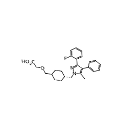 Cc1c(-c2ccccc2)c(-c2ccccc2F)nn1C[C@H]1CC[C@H](COCC(=O)O)CC1